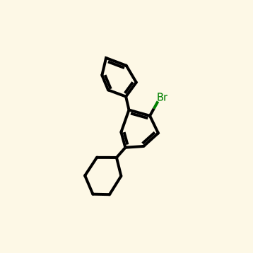 Brc1ccc(C2CCCCC2)cc1-c1ccccc1